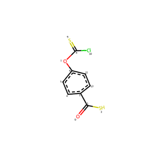 O=C(S)c1ccc(OC(=S)Cl)cc1